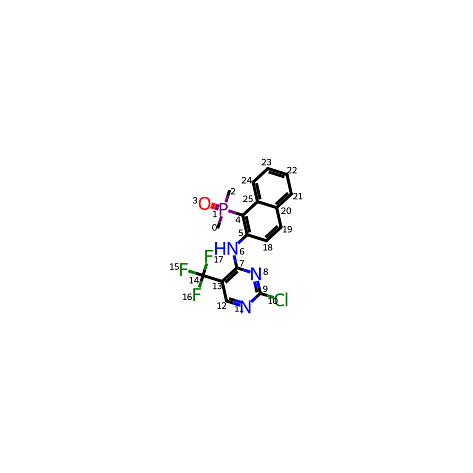 CP(C)(=O)c1c(Nc2nc(Cl)ncc2C(F)(F)F)ccc2ccccc12